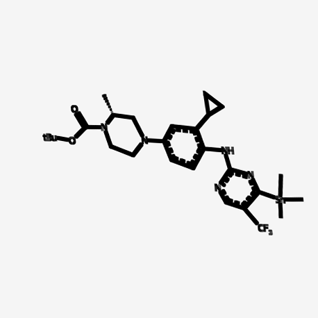 C[C@@H]1CN(c2ccc(Nc3ncc(C(F)(F)F)[c]([Sn]([CH3])([CH3])[CH3])n3)c(C3CC3)c2)CCN1C(=O)OC(C)(C)C